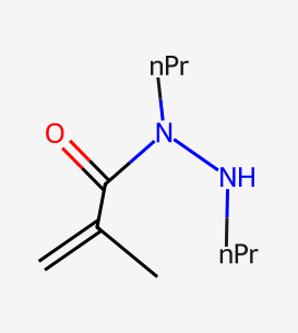 C=C(C)C(=O)N(CCC)NCCC